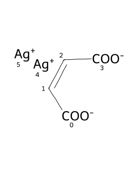 O=C([O-])/C=C\C(=O)[O-].[Ag+].[Ag+]